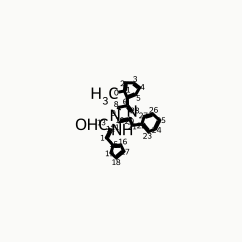 Cc1ccccc1-c1cnc(N/C(C=O)=C\C2=CC=CC2)c(Cc2ccccc2)n1